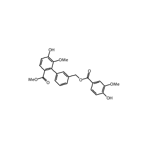 COC(=O)c1ccc(O)c(OC)c1-c1cccc(COC(=O)c2ccc(O)c(OC)c2)c1